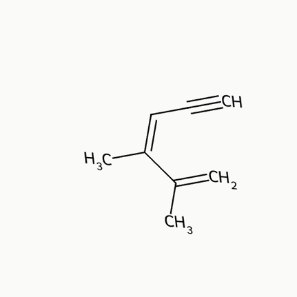 C#CC=C(C)C(=C)C